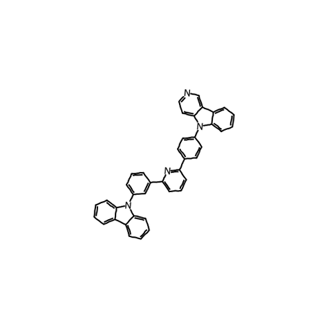 c1cc(-c2cccc(-c3ccc(-n4c5ccccc5c5cnccc54)cc3)n2)cc(-n2c3ccccc3c3ccccc32)c1